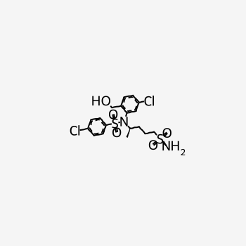 C[C@H](CCCS(N)(=O)=O)N(c1cc(Cl)ccc1CO)S(=O)(=O)c1ccc(Cl)cc1